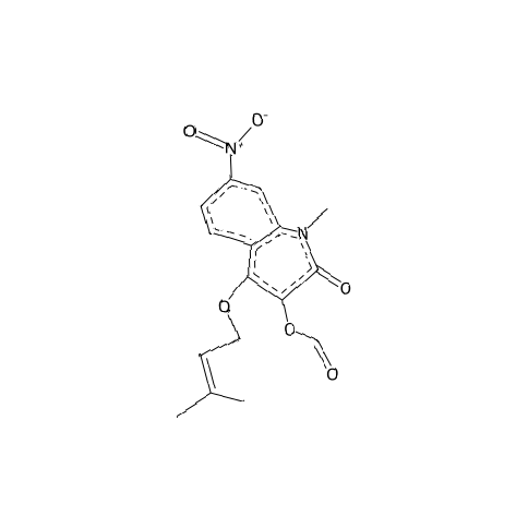 CC(C)=CCOc1c(OC=O)c(=O)n(C)c2cc([N+](=O)[O-])ccc12